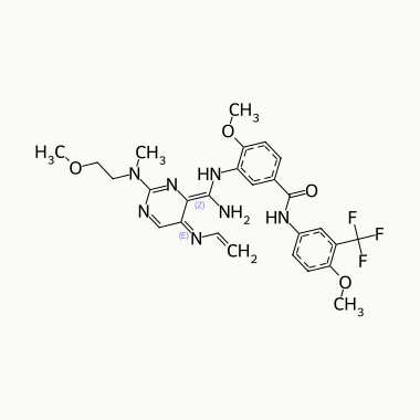 C=C/N=C1/C=NC(N(C)CCOC)=N/C1=C(/N)Nc1cc(C(=O)Nc2ccc(OC)c(C(F)(F)F)c2)ccc1OC